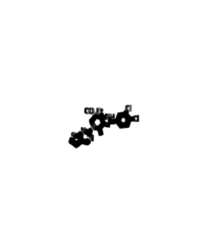 CCOC(=O)C1(NCc2ccc(Cl)c(Cl)c2)CCN(c2ncc3ccsc3n2)C(C)C1C